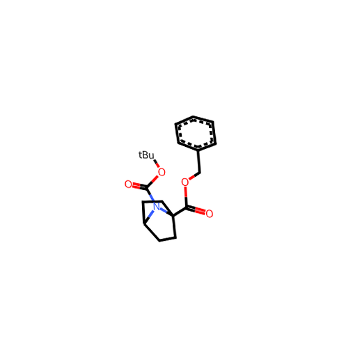 CC(C)(C)OC(=O)N1C2CCC1(C(=O)OCc1ccccc1)CC2